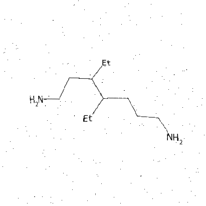 CCC(CCN)C(CC)CCCN